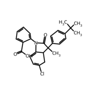 CC(C)(C)c1ccc(C2(C)C(=O)N(c3ccccc3C(=O)O)C3=CC=C(Cl)CC32)cc1